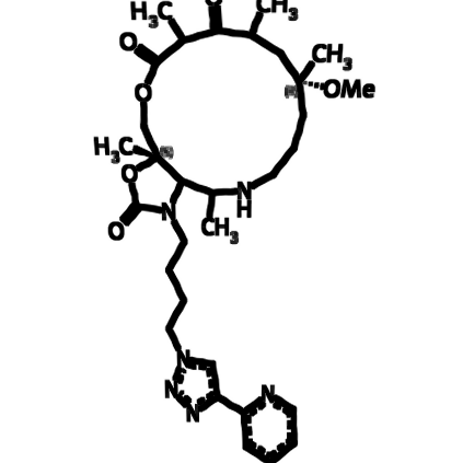 CO[C@]1(C)CCCNC(C)C2N(CCCCn3cc(-c4ccccn4)nn3)C(=O)O[C@]2(C)COC(=O)C(C)C(=O)C(C)C1